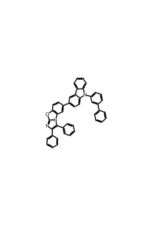 c1ccc(-c2cccc(-n3c4ccccc4c4cc(-c5ccc6oc7nc(-c8ccccc8)c(-c8ccccc8)n7c6c5)ccc43)c2)cc1